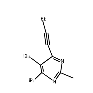 CCC#Cc1nc(C)nc(C(C)C)c1C(C)CC